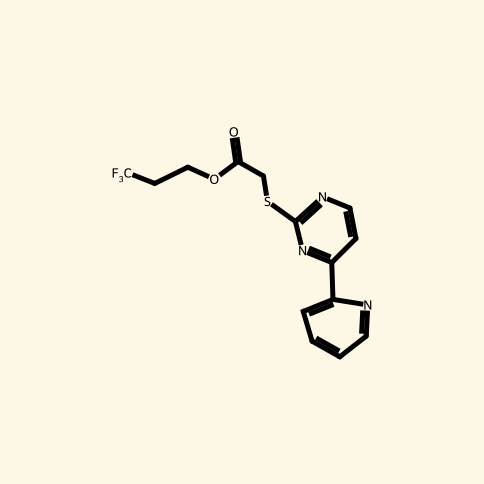 O=C(CSc1nccc(-c2ccccn2)n1)OCCC(F)(F)F